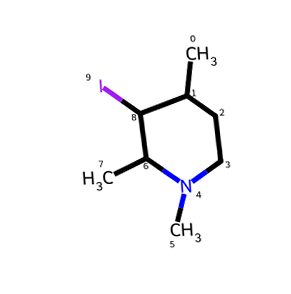 CC1CCN(C)C(C)C1I